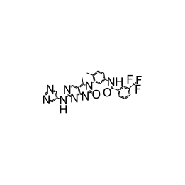 Cc1ccc(NC(=O)c2cccc(C(F)(F)F)c2)cc1-n1c(C)c2cnc(Nc3cncnc3)nc2nc1=O